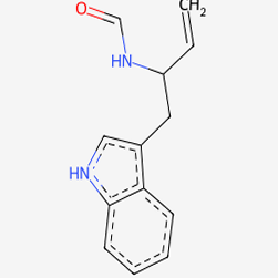 C=CC(Cc1c[nH]c2ccccc12)NC=O